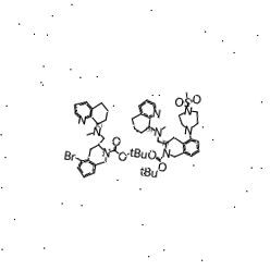 CN(CC1Cc2c(Br)cccc2CN1C(=O)OC(C)(C)C)[C@H]1CCCc2cccnc21.CN(C[C@H]1Cc2c(cccc2N2CCN(S(C)(=O)=O)CC2)CN1C(=O)OC(C)(C)C)[C@H]1CCCc2cccnc21